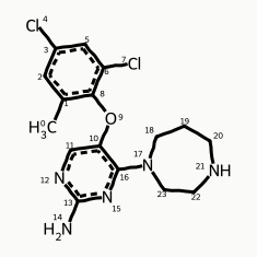 Cc1cc(Cl)cc(Cl)c1Oc1cnc(N)nc1N1CCCNCC1